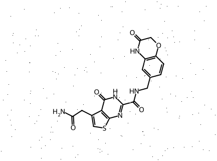 NC(=O)Cc1csc2nc(C(=O)NCc3ccc4c(c3)NC(=O)CO4)[nH]c(=O)c12